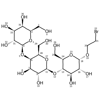 OC[C@H]1O[C@@H](O[C@@H]2[C@H](O)[C@@H](O)[C@H](O[C@H]3[C@H](O)[C@@H](O)[C@@H](OCCBr)O[C@@H]3CO)O[C@@H]2CO)[C@H](O)[C@@H](O)[C@H]1O